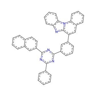 c1ccc(-c2nc(-c3cccc(-c4cc5ccccc5n5c4nc4ccccc45)c3)nc(-c3ccc4ccccc4c3)n2)cc1